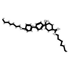 CCCCCCCOC(=O)C1CCC(O)(c2ccc(-c3ccc(OCCCCCCC)cc3)cc2)CC1